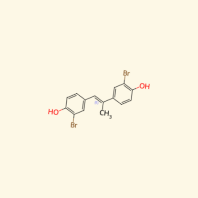 C/C(=C\c1ccc(O)c(Br)c1)c1ccc(O)c(Br)c1